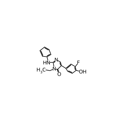 CCn1c(Nc2ccccc2)ncc(-c2ccc(O)c(F)c2)c1=O